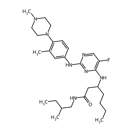 CCCCC(CC(=O)NCC(C)CC)Nc1nc(Nc2ccc(N3CCN(C)CC3)c(C)c2)ncc1F